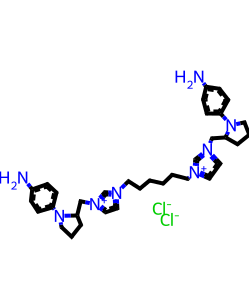 Nc1ccc(N2CCCC2Cn2cc[n+](CCCCCCn3cc[n+](CC4CCCN4c4ccc(N)cc4)c3)c2)cc1.[Cl-].[Cl-]